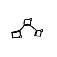 C1=C(C2=C(C3=CCO3)OC2)OC1